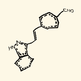 O=Cc1ccc(C=Cc2n[nH]c3ccccc23)cc1